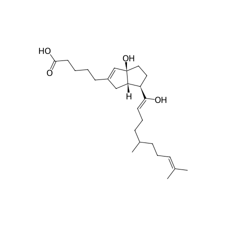 CC(C)=CCCC(C)CCC=C(O)[C@@H]1CC[C@@]2(O)C=C(CCCCC(=O)O)C[C@@H]12